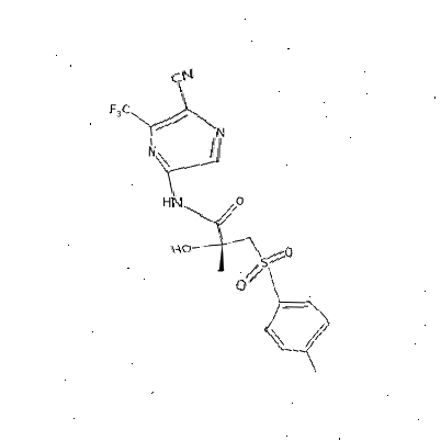 Cc1ccc(S(=O)(=O)C[C@](C)(O)C(=O)Nc2cnc(C#N)c(C(F)(F)F)n2)cc1